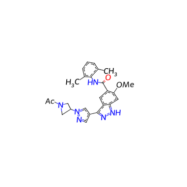 COc1cc2[nH]nc(-c3cnn(C4CN(C(C)=O)C4)c3)c2cc1C(=O)Nc1c(C)cccc1C